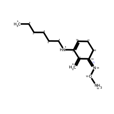 C=C1C(NCCCCCC)=CCC/C1=N/ON